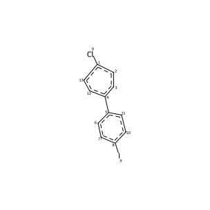 Clc1ccc(-c2c[c]c(I)cc2)cc1